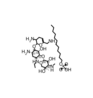 CCCCCCCCCCCCOS(=O)(=O)O.CCN[C@@H]1C[C@H](N)[C@@H](OC2OC(CN)=CCC2N)[C@H](O)[C@H]1O[C@H]1OC[C@](C)(O)[C@H](NC)[C@H]1O